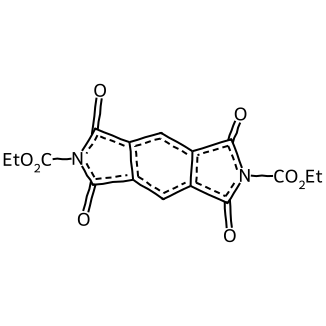 CCOC(=O)n1c(=O)c2cc3c(=O)n(C(=O)OCC)c(=O)c3cc2c1=O